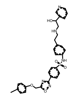 Cc1ccc(OCc2nc(-c3ccc(S(=O)(=O)Nc4ccc(CCNCC(O)c5cccnc5)cc4)cc3)no2)cc1